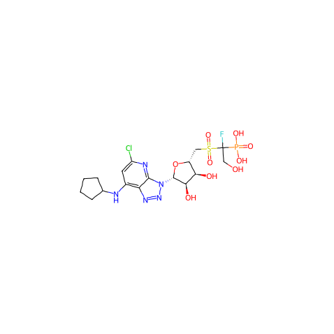 O=P(O)(O)C(F)(CO)S(=O)(=O)C[C@H]1O[C@@H](n2nnc3c(NC4CCCC4)cc(Cl)nc32)[C@H](O)[C@@H]1O